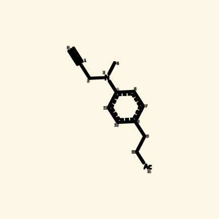 C#CCN(C)c1ccc(CCC(C)=O)cc1